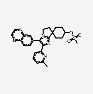 Cc1cccc(-c2nc3n(c2-c2ccc4nccnc4c2)CCC32CCC(OS(C)(=O)=O)CC2)n1